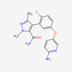 Cc1nn(C)c(C(N)=O)c1-c1cc(Oc2ccc(N)nc2)ccc1F